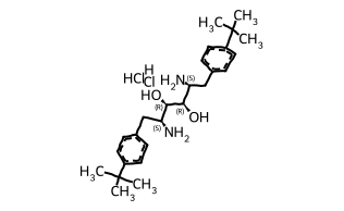 CC(C)(C)c1ccc(C[C@H](N)[C@@H](O)[C@H](O)[C@@H](N)Cc2ccc(C(C)(C)C)cc2)cc1.Cl.Cl